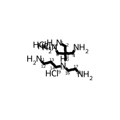 CC(CN)(CN)CN.Cl.Cl.Cl.NCCCNCCN